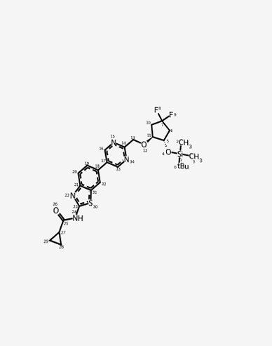 CC(C)(C)[Si](C)(C)O[C@H]1CC(F)(F)C[C@@H]1OCc1ncc(-c2ccc3nc(NC(=O)C4CC4)sc3c2)cn1